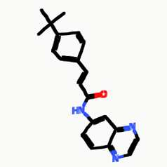 CC(C)(C)c1ccc(C=CC(=O)Nc2ccc3nccnc3c2)cc1